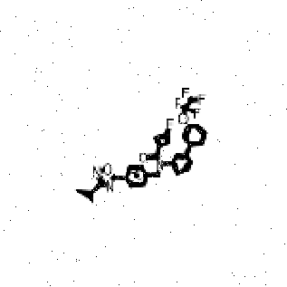 O=C(N(CC12CCC(c3nc(C4CC4)no3)(CC1)CC2)c1cccc(-c2cccc(OC(F)(F)C(F)F)c2)c1)C12CC(F)(C1)C2